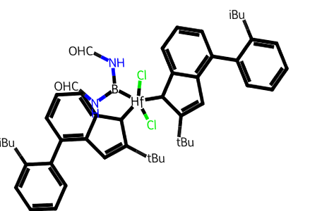 CCC(C)c1ccccc1-c1cccc2c1C=C(C(C)(C)C)[CH]2[Hf]([Cl])([Cl])([B](NC=O)NC=O)[CH]1C(C(C)(C)C)=Cc2c(-c3ccccc3C(C)CC)cccc21